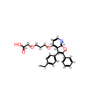 CCc1ccc(-c2c(-c3ccccc3)oc3nccc(OCCCOCC(=O)O)c23)cc1